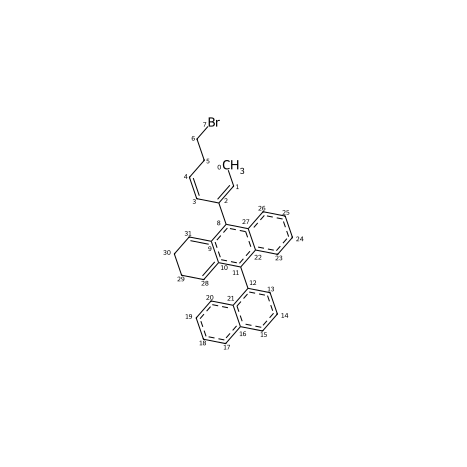 C/C=C(\C=C/CCBr)c1c2c(c(-c3cccc4ccccc34)c3ccccc13)=CCCC=2